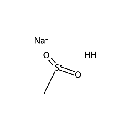 C[S-](=O)=O.[HH].[Na+]